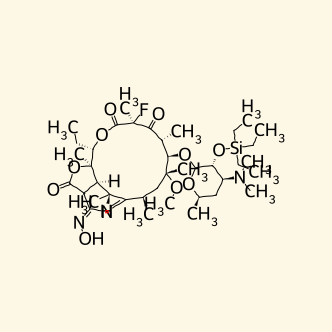 CC[C@@H]1OC(=O)[C@@](C)(F)C(=O)[C@H](C)[C@@H](OC2O[C@H](C)C[C@H](N(C)C)[C@H]2O[Si](CC)(CC)CC)[C@](C)(OC)C[C@@H](C)C2=N/C(=N\O)[C@@H]3C(=O)O[C@]1(C)[C@H]3[C@H]2C